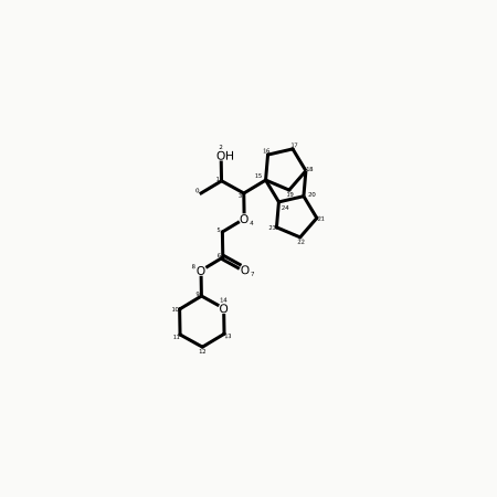 CC(O)C(OCC(=O)OC1CCCCO1)C12CCC(C1)C1CCCC12